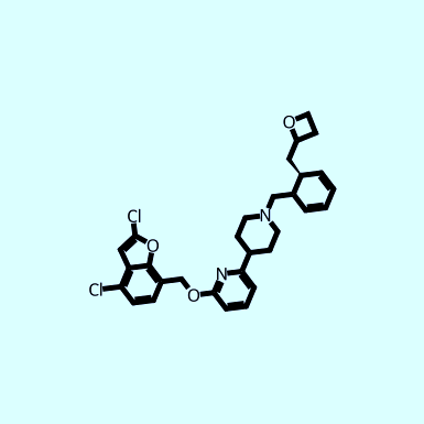 Clc1cc2c(Cl)ccc(COc3cccc(C4CCN(CC5C=CC=C[C@@H]5CC5CCO5)CC4)n3)c2o1